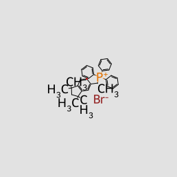 CC(c1ccc2c(c1)C(C)(C)CC2(C)C)[P+](c1ccccc1)(c1ccccc1)c1ccccc1.[Br-]